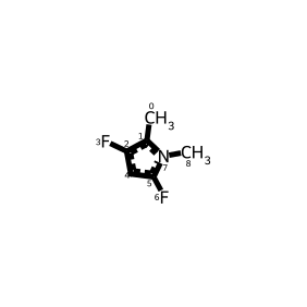 Cc1c(F)cc(F)n1C